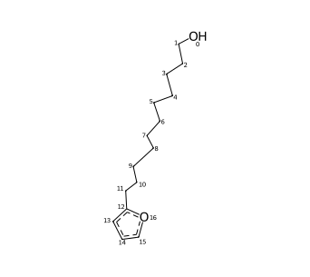 OCCCCCCCCCCCc1ccco1